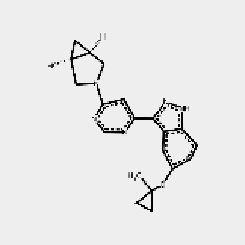 CC1(Oc2ccc3[nH]nc(-c4cc(N5C[C@H]6C[C@H]6C5)ncn4)c3c2)CC1